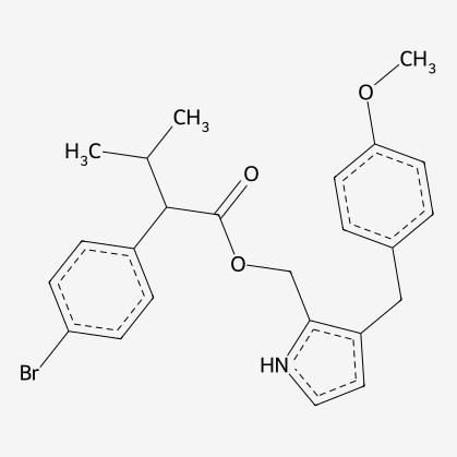 COc1ccc(Cc2cc[nH]c2COC(=O)C(c2ccc(Br)cc2)C(C)C)cc1